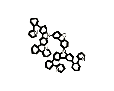 C1=CC(c2ccccn2)C(C2C=Cc3c(c4cc(-c5ccccc5-c5ccccn5)ccc4n3-c3ccc4oc5ccc(-n6c7ccc(C8=CCCC=C8c8ccccn8)cc7c7cc(-c8ccccc8C8=CCCC=N8)ccc76)cc5c4c3)C2)CC1